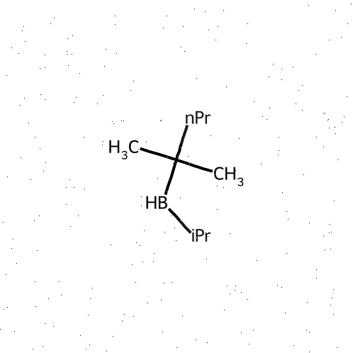 CCCC(C)(C)BC(C)C